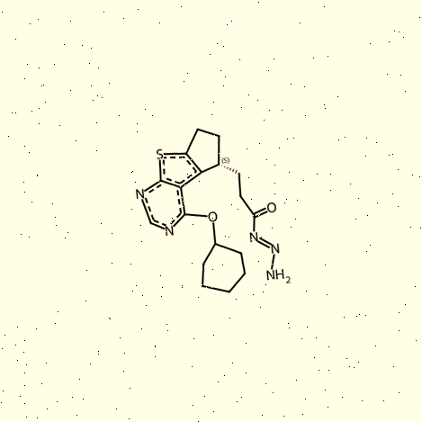 NN=NC(=O)CC[C@H]1CCc2sc3ncnc(OC4CCCCC4)c3c21